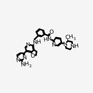 C[C@@H]1CNCCN1c1ccc(NC(=O)c2cccc(CNc3ncc(-c4ccnc(N)n4)c4c3CCO4)c2)nc1